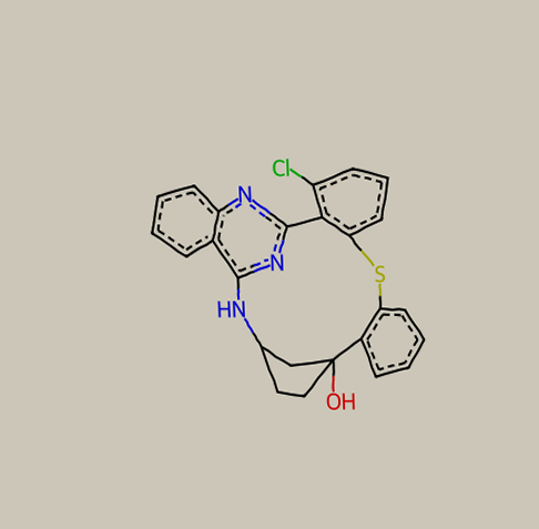 OC12CCC(C1)Nc1nc(nc3ccccc13)-c1c(Cl)cccc1Sc1ccccc12